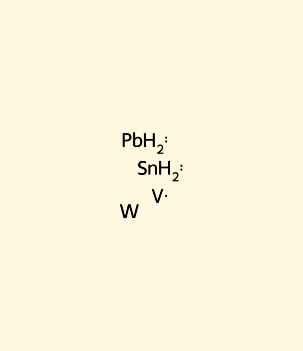 [PbH2].[SnH2].[V].[W]